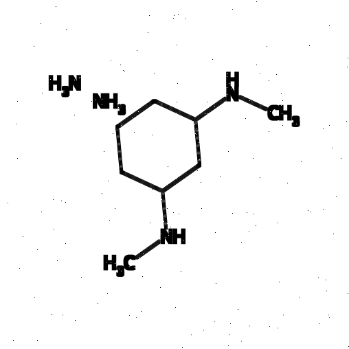 CNC1CCCC(NC)C1.N.N